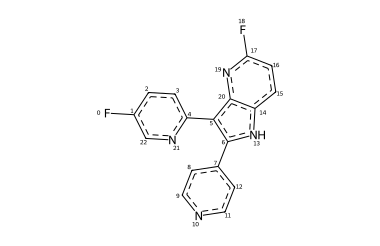 Fc1ccc(-c2c(-c3ccncc3)[nH]c3ccc(F)nc23)nc1